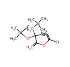 C=C(CC)OC(=C)C([SiH3])(O[Si](C)(C)C)O[Si](C)(C)C